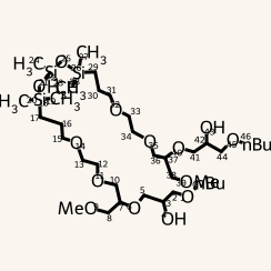 CCCCOCC(O)COC(COC)COCCOCCC[Si](C)(C)O[Si](C)(C)O[Si](C)(C)CCCOCCOCC(COC)OCC(O)COCCCC